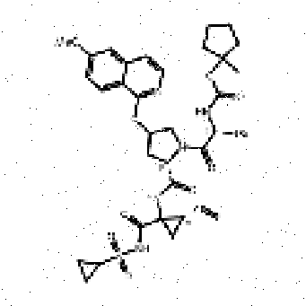 C=C[C@@H]1CC1(NC(=O)[C@@H]1CC(Oc2nccc3cc(OC)ccc23)CN1C(=O)[C@@H](NC(=O)OC1(C)CCCC1)C(C)(C)C)C(=O)NS(=O)(=O)C1CC1